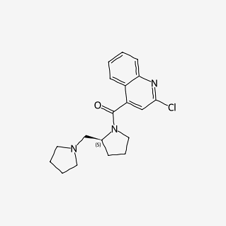 O=C(c1cc(Cl)nc2ccccc12)N1CCC[C@H]1CN1CCCC1